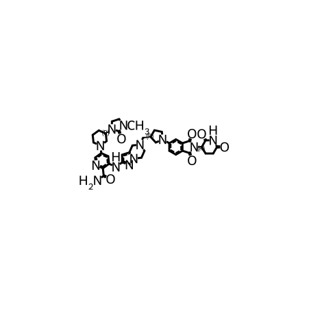 CN1CCN([C@@H]2CCCN(c3cnc(C(N)=O)c(Nc4cc5n(n4)CCN(C[C@H]4CCN(c6ccc7c(c6)C(=O)N([C@@H]6CCC(=O)NC6=O)C7=O)C4)C5)c3)C2)C1=O